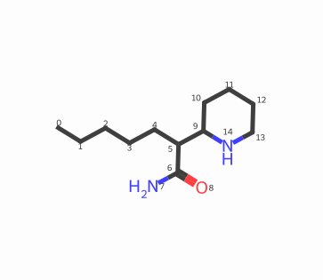 CCCCCC(C(N)=O)C1CCCCN1